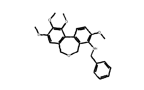 COc1ccc2c(c1NCc1ccccc1)COCc1cc(OC)c(OC)c(OC)c1-2